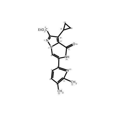 CCOC(=O)c1nn2cc(-c3ccc(C)c(C)n3)[nH]c(=O)c2c1C1CC1